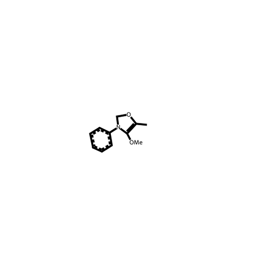 COC1=C(C)OCN1c1ccccc1